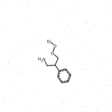 CCOOCC(CN)c1ccccc1